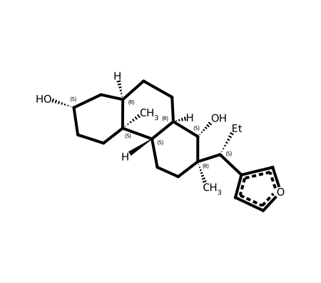 CC[C@H](c1ccoc1)[C@@]1(C)CC[C@H]2[C@@H](CC[C@@H]3C[C@@H](O)CC[C@@]32C)[C@@H]1O